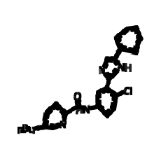 CCCCc1ccc(C(=O)Nc2ccc(Cl)c(-c3ncc(-c4ccccc4)[nH]3)c2)nc1